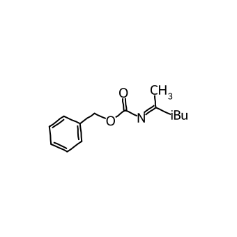 [CH2]CC(C)C(C)=NC(=O)OCc1ccccc1